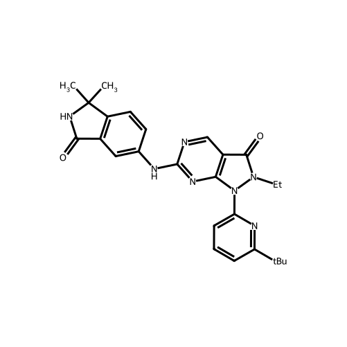 CCn1c(=O)c2cnc(Nc3ccc4c(c3)C(=O)NC4(C)C)nc2n1-c1cccc(C(C)(C)C)n1